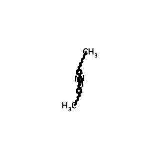 CCCCCCCCCc1ccc(-c2ncc(OCc3ccc(CCCCCC)cc3)cn2)cc1